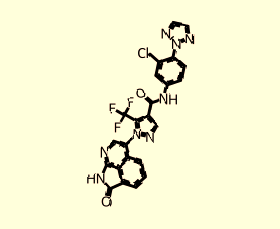 O=C(Nc1ccc(-n2nccn2)c(Cl)c1)c1cnn(-c2cnc3c4c(cccc24)C(=O)N3)c1C(F)(F)F